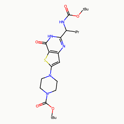 CC(C)C(NC(=O)OC(C)(C)C)c1nc2cc(N3CCN(C(=O)OC(C)(C)C)CC3)sc2c(=O)[nH]1